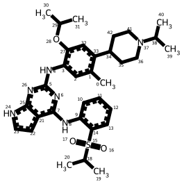 Cc1cc(Nc2nc(Nc3ccccc3S(=O)(=O)C(C)C)c3cc[nH]c3n2)c(OC(C)C)cc1C1CCN(C(C)C)CC1